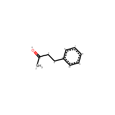 O=C([SiH3])CCc1ccccc1